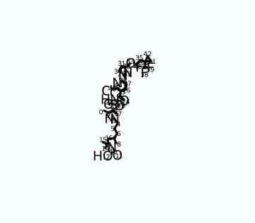 Cc1nn(CCCC2CN(C(=O)O)C(C)(C)C2)cc1S(=O)(=O)NC(=O)c1ccc(-n2ccc(OCCC3(C(F)(F)F)CC3)n2)nc1Cl